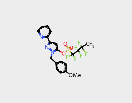 COc1ccc(Cn2nc(-c3ccccn3)cc2OS(=O)(=O)C(F)(F)C(F)(F)C(F)(F)C(F)(F)F)cc1